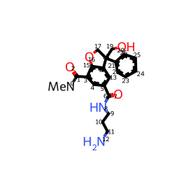 CNC(=O)c1cc(C(=O)NCCCN)cc2c1OCC2(CO)c1ccccc1